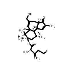 C=C(CCF)[C@H](N)C(=O)O[C@]1(C)C[C@@H](C)[C@@]2(O)[C@@H](C=C(CO)C[C@]3(O)C(=O)C(C)=C[C@@H]23)C1(C)C